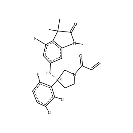 C=CC(=O)N1CC[C@@](Nc2cc(F)c3c(c2)N(C)C(=O)C3(C)C)(c2c(F)ccc(Cl)c2Cl)C1